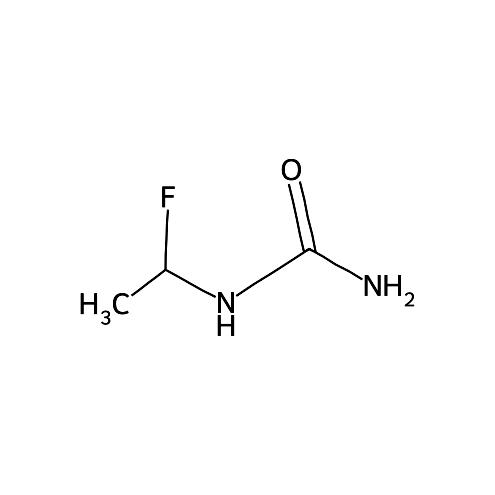 CC(F)NC(N)=O